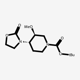 CO[C@H]1CN(C(=O)OC(C)(C)C)CC[C@@H]1N1CCOC1=O